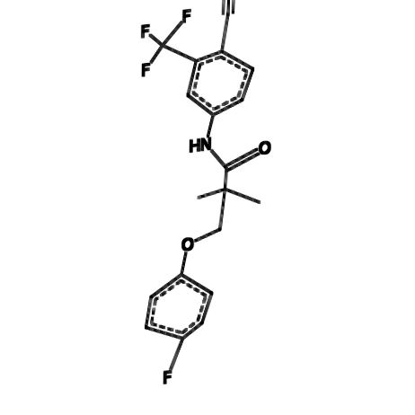 CC(C)(COc1ccc(F)cc1)C(=O)Nc1ccc(C#N)c(C(F)(F)F)c1